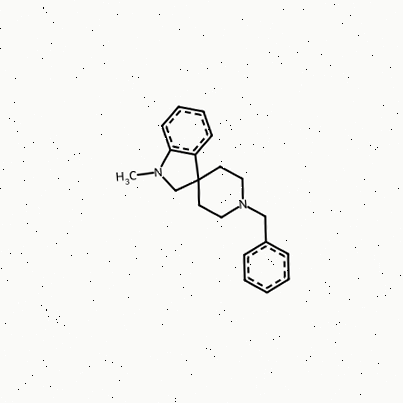 CN1CC2(CCN(Cc3ccccc3)CC2)c2ccccc21